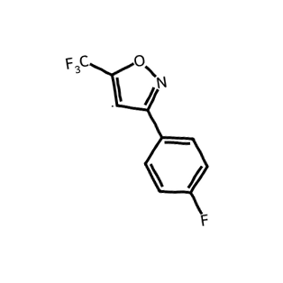 Fc1ccc(-c2[c]c(C(F)(F)F)on2)cc1